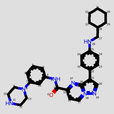 O=C(Nc1cccc(N2CCNCC2)c1)c1ccn2ncc(-c3ccc(NCC4CCCCC4)cc3)c2n1